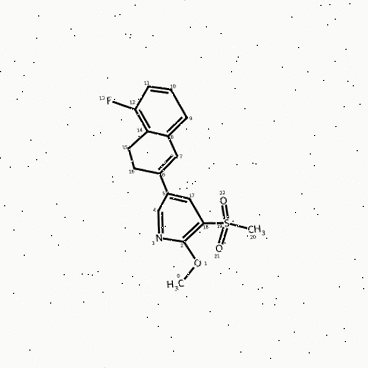 COc1ncc(C2=[C]c3cccc(F)c3CC2)cc1S(C)(=O)=O